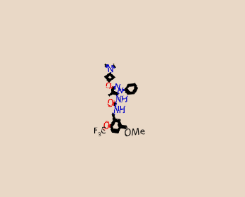 COCc1ccc(OC(F)(F)F)c(CNC(=O)Nc2c(C)c(O[C@H]3C[C@H](N(C)C)C3)nn2-c2ccccc2)c1